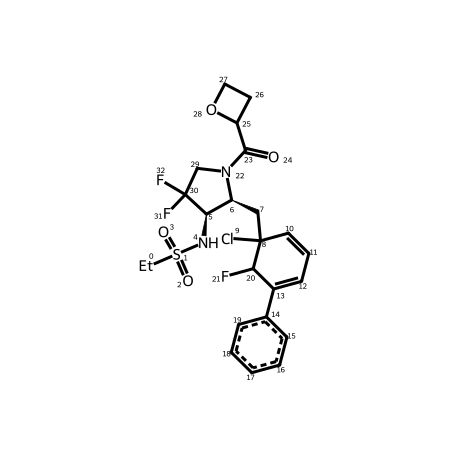 CCS(=O)(=O)N[C@@H]1[C@H](CC2(Cl)C=CC=C(c3ccccc3)C2F)N(C(=O)C2CCO2)CC1(F)F